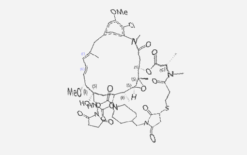 COc1cc2cc(c1Cl)N(C)C(=O)C[C@H](OC(=O)[C@H](C)N(C)C(=O)CCSC1CC(=O)N(CC3CCN(C(=O)ON4C(=O)CCC4=O)CC3)C1=O)[C@]1(C)O[C@H]1[C@H](C)C1C[C@@](O)(NC(=O)O1)[C@H](OC)/C=C/C=C(\C)C2